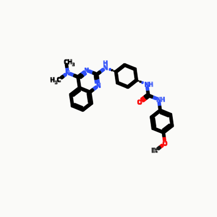 CCOc1ccc(NC(=O)N[C@H]2CC[C@@H](Nc3nc(N(C)C)c4ccccc4n3)CC2)cc1